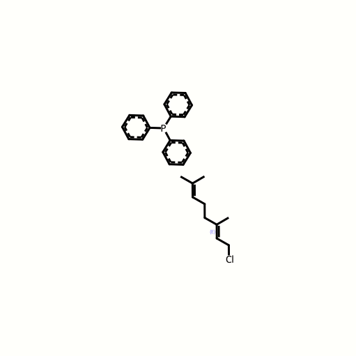 CC(C)=CCC/C(C)=C/CCl.c1ccc(P(c2ccccc2)c2ccccc2)cc1